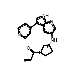 C=CC(=O)N1CC[C@@H](Nc2cnc3[nH]cc(-c4ccncc4)c3c2)C1